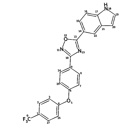 FC(F)(F)c1ccc(Oc2ccc(-c3noc(-c4ccc5[nH]ccc5c4)n3)cc2)cc1